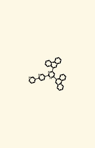 c1cncc(-c2ccc(-c3nc(-c4cc5ccccc5c5ccccc45)cc(-c4cc5ccccc5c5ccccc45)n3)cn2)c1